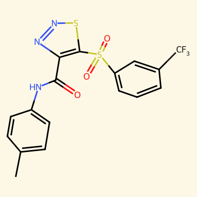 Cc1ccc(NC(=O)c2nnsc2S(=O)(=O)c2cccc(C(F)(F)F)c2)cc1